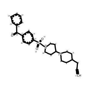 C#CCC1CCN(C2CCN(S(=O)(=O)c3ccc(C(=O)c4ccccc4)cc3)CC2)CC1